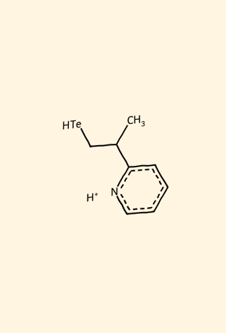 CC(C[TeH])c1ccccn1.[H+]